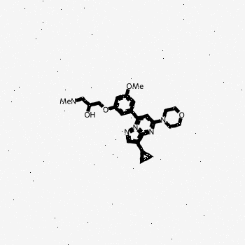 CNCC(O)COc1cc(OC)cc(-c2cc(N3CCOCC3)nc3c(C4CC4)cnn23)c1